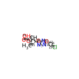 Cc1cc(-c2nc3cnc(Oc4ccc(Cl)cc4)nc3o2)cc(C)c1OCC(=O)O